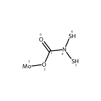 O=C([O][Mo])N(S)S